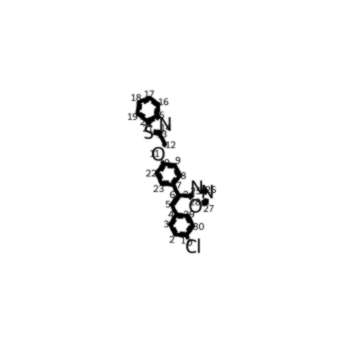 Clc1ccc(/C=C(/c2ccc(OCc3nc4ccccc4s3)cc2)c2nnco2)cc1